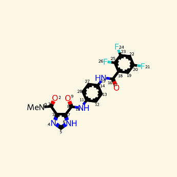 CNC(=O)c1nc[nH]c1C(=O)Nc1ccc(NC(=O)c2cc(F)cc(F)c2F)cc1